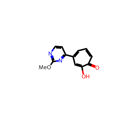 COc1nccc(-c2cccc(=O)c(O)c2)n1